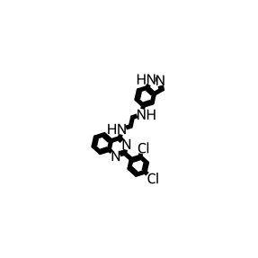 Clc1ccc(-c2nc(NCCNc3ccc4[nH]ncc4c3)c3ccccc3n2)c(Cl)c1